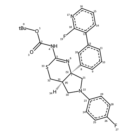 CC(C)(C)OC(=O)NC1=N[C@@]2(c3cccc(-c4cccnc4F)c3)CN(c3ccc(F)cc3)C[C@H]2CS1